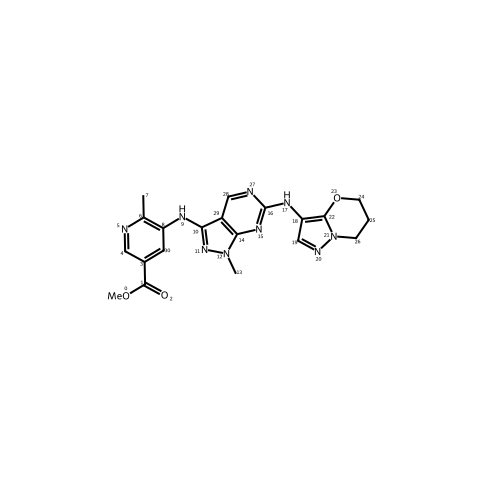 COC(=O)c1cnc(C)c(Nc2nn(C)c3nc(Nc4cnn5c4OCCC5)ncc23)c1